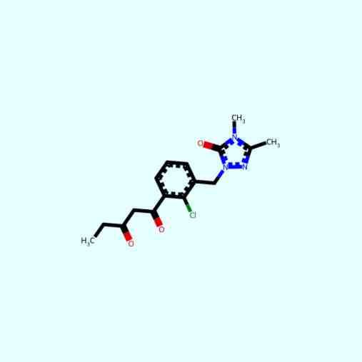 CCC(=O)CC(=O)c1cccc(Cn2nc(C)n(C)c2=O)c1Cl